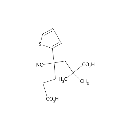 CC(C)(CC(C#N)(CCC(=O)O)c1cccs1)C(=O)O